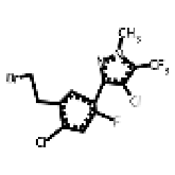 Cn1nc(-c2cc(CCBr)c(Cl)cc2F)c(Cl)c1C(F)(F)F